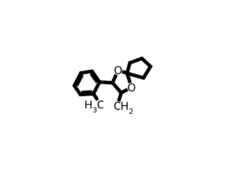 [CH2]C1OC2(CCCC2)OC1c1ccccc1C